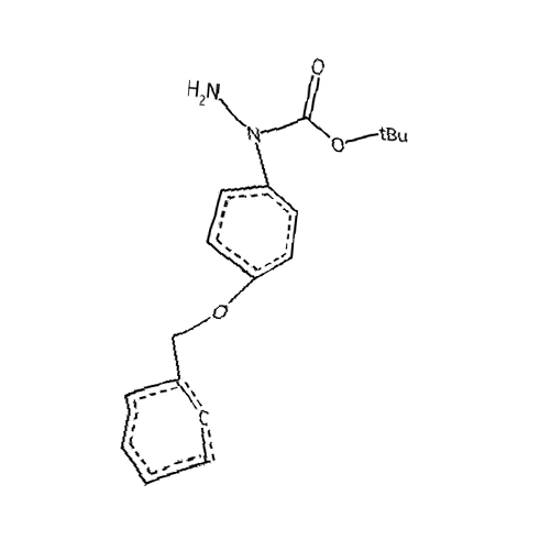 CC(C)(C)OC(=O)N(N)c1ccc(OCc2ccccc2)cc1